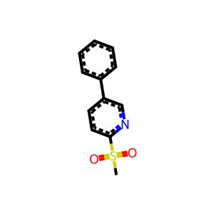 CS(=O)(=O)c1ccc(-c2ccccc2)cn1